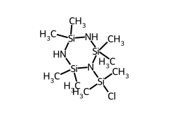 C[Si]1(C)N[Si](C)(C)N([Si](C)(C)Cl)[Si](C)(C)N1